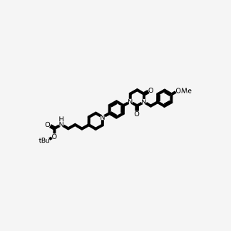 COc1ccc(CN2C(=O)CCN(c3ccc(N4CCC(CCCNC(=O)OC(C)(C)C)CC4)cc3)C2=O)cc1